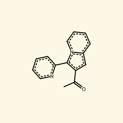 CC(=O)c1cc2ccccn2c1-c1ccccn1